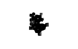 CN(C)C(=O)c1cc(F)c(F)cc1NC1(Cc2cccc(Cl)c2)C(=O)Nc2cc(Cl)ccc21